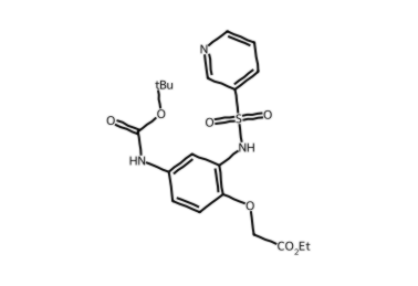 CCOC(=O)COc1ccc(NC(=O)OC(C)(C)C)cc1NS(=O)(=O)c1cccnc1